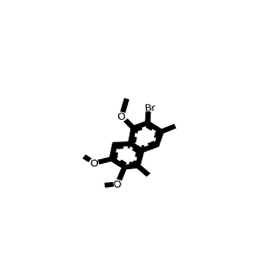 COc1cc2c(OC)c(Br)c(C)cc2c(C)c1OC